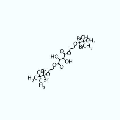 CC(C)(C)C(Br)(Br)OCCOC(=O)C(O)C(O)C(=O)OCCOC(Br)(Br)C(C)(C)C